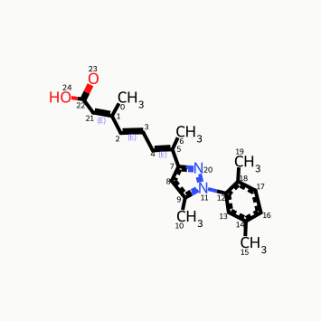 CC(/C=C/C=C(\C)c1cc(C)n(-c2cc(C)ccc2C)n1)=C\C(=O)O